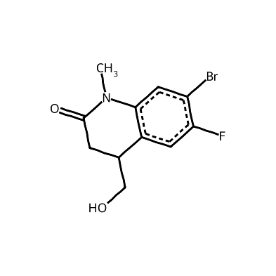 CN1C(=O)CC(CO)c2cc(F)c(Br)cc21